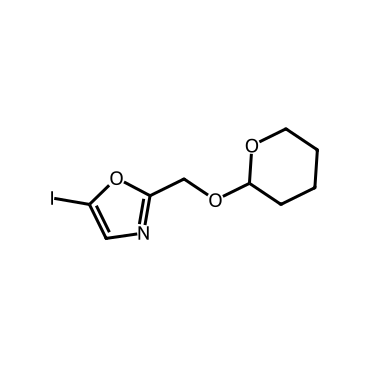 Ic1cnc(COC2CCCCO2)o1